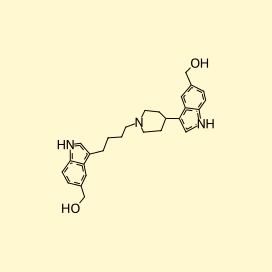 OCc1ccc2[nH]cc(CCCCN3CCC(c4c[nH]c5ccc(CO)cc45)CC3)c2c1